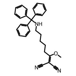 COC(CCCCCNC(c1ccccc1)(c1ccccc1)c1ccccc1)=C(C#N)C#N